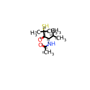 CC(=O)N[C@H](C(=O)C(C)(C)S)C(C)C